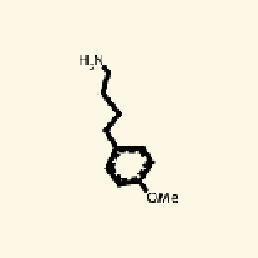 COc1ccc(CC[CH]CN)cc1